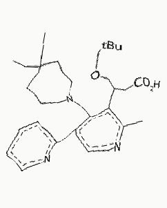 Cc1ncc(-c2ccccn2)c(N2CCC(C)(C)CC2)c1C(OC(C)(C)C)C(=O)O